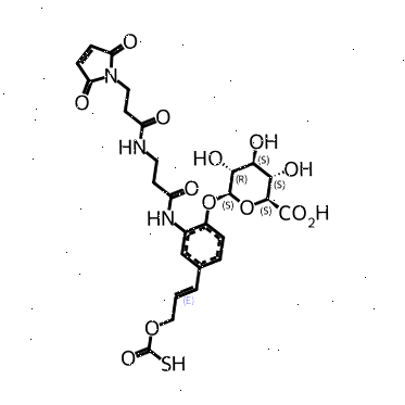 O=C(CCN1C(=O)C=CC1=O)NCCC(=O)Nc1cc(/C=C/COC(=O)S)ccc1O[C@@H]1O[C@H](C(=O)O)[C@@H](O)[C@H](O)[C@H]1O